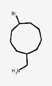 NCC1CCCCC(Br)CCC1